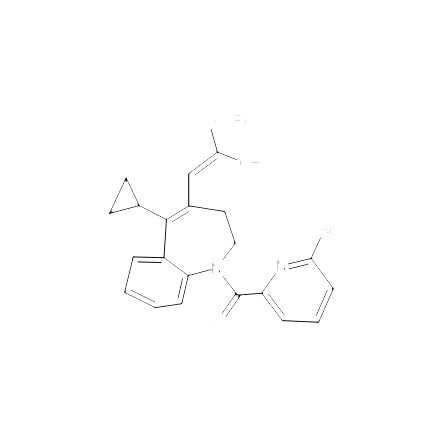 CCOC(=O)/C(C)=C/C1=C(C2CC2)c2ccccc2N(C(=O)c2cccc(Br)n2)CC1